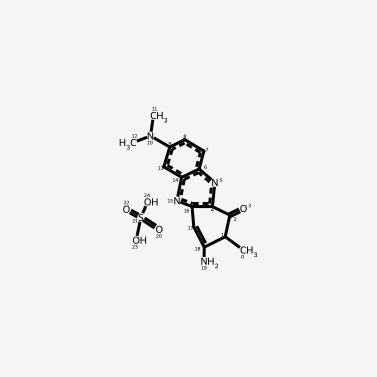 CC1C(=O)c2nc3ccc(N(C)C)cc3nc2C=C1N.O=S(=O)(O)O